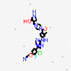 Cc1cc(Nc2nccn3c(-c4ccc(OCC#N)c(F)c4Cl)cnc23)ccc1C(=O)N1CCN(CC2CCNC[C@H]2O)CC1